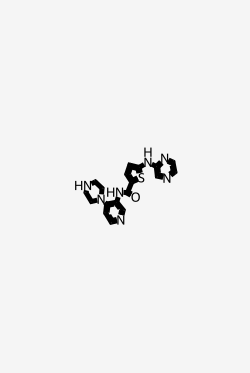 O=C(Nc1cnccc1N1CCNCC1)c1ccc(Nc2cnccn2)s1